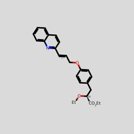 CCOC(=O)[C@H](Cc1ccc(OC/C=C/c2ccc3ccccc3n2)cc1)OCC